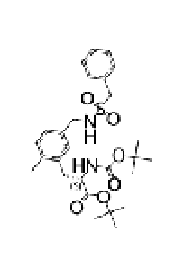 Cc1ccc(CNS(=O)(=O)Cc2ccccc2)cc1C[C@H](NC(=O)OC(C)(C)C)C(=O)OC(C)(C)C